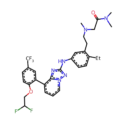 CCc1ccc(Nc2nc3c(-c4cc(C(F)(F)F)ccc4OCC(F)F)cccn3n2)cc1CCN(C)CC(=O)N(C)C